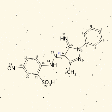 CC1=NN(c2ccccc2)C(=N)/C1=N/Nc1ccc(N=O)cc1S(=O)(=O)O